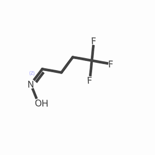 O/N=C\CCC(F)(F)F